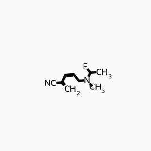 C=C(C#N)/C=C\CN(C)C(C)F